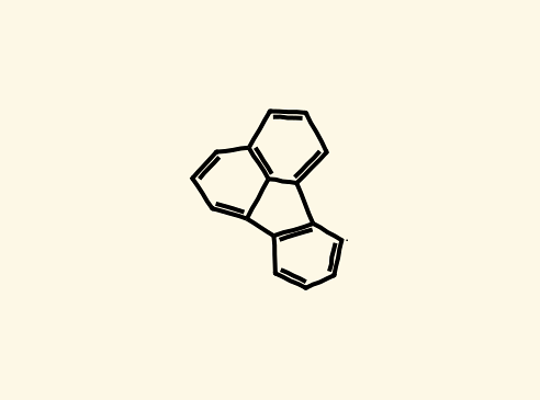 [c]1cccc2c1-c1cccc3cccc-2c13